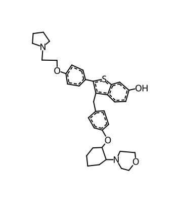 Oc1ccc2c(Cc3ccc(OC4CCCCC4N4CCOCC4)cc3)c(-c3ccc(OCCN4CCCC4)cc3)sc2c1